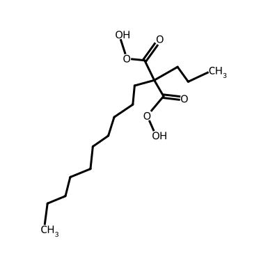 CCCCCCCCCCC(CCC)(C(=O)OO)C(=O)OO